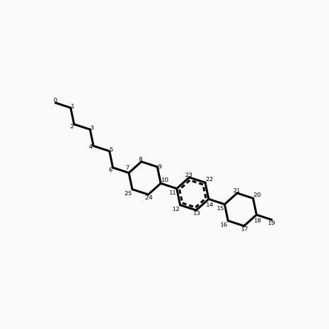 CCCCCCCC1CCC(c2ccc(C3CCC(C)CC3)cc2)CC1